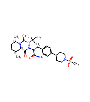 C[C@@H]1CC[C@H](C)N(C(=O)OC(C)(C)C)[C@@H]1C(=O)N[C@@H](Cc1ccc(C2CCN(S(C)(=O)=O)CC2)cc1)C(N)=O